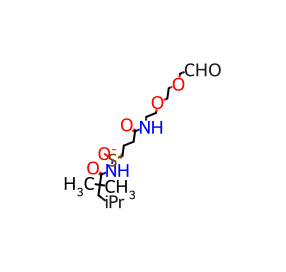 CC(C)CC(C)(C)C(=O)N[S+]([O-])CCCC(=O)NCCOCCOCC=O